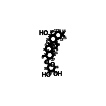 CC1C2CCC3(C)C(CC=C4C5CC(C)(C)CC[C@]5(C(=O)O)CC[C@]43C)C2(C)CC[C@@H]1OC1CC(O)C(O)CO1